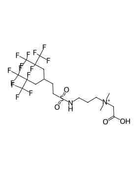 C[N+](C)(CCCNS(=O)(=O)CCC(CC(F)(C(F)(F)F)C(F)(F)F)CC(F)(C(F)(F)F)C(F)(F)F)CC(=O)O